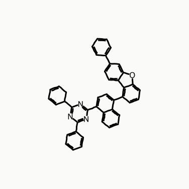 C1=CCC(c2nc(-c3ccccc3)nc(-c3ccc(-c4cccc5oc6cc(-c7ccccc7)ccc6c45)c4ccccc34)n2)C=C1